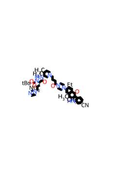 CCc1cc2c(cc1N1CCN(C(=O)CCCN3CCC(C)(C)[C@@H](NC(=O)[C@H](CCCn4ccnc4[N+](=O)[O-])NC(=O)OC(C)(C)C)C3)CC1)C(C)(C)c1[nH]c3cc(C#N)ccc3c1C2=O